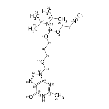 [C-]#[N+]CCOP(OCCCOCn1cnc2c(=O)[nH]c(C)nc21)N(C(C)C)C(C)C